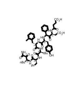 CCCC[C@H](NC(=O)[C@H](CC(C)C)NC(=O)[C@@H](NC(=O)[C@H](Cc1ccccc1C)NC(=O)[C@H](Cc1ccc(O)cc1)NC(C(=O)[C@H](CC(=O)O)NC(=O)CCC(=O)O)c1ccccc1)C(C)(C)C)C(=O)C(N)=O